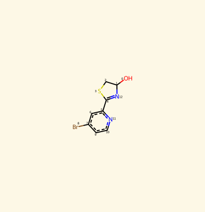 OC1CSC(c2cc(Br)ccn2)=N1